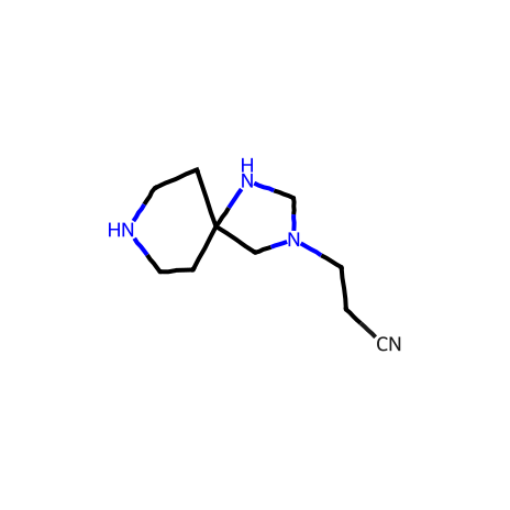 N#CCCN1CNC2(CCNCC2)C1